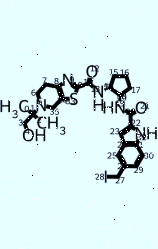 CC(C)(CO)N1CCc2nc(C(=O)N[C@@H]3CCC[C@H]3NC(=O)c3cc4cc(CI)ccc4[nH]3)sc2C1